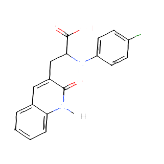 Cn1c(=O)c(CC(Nc2ccc(Cl)cc2)C(=O)O)cc2ccccc21